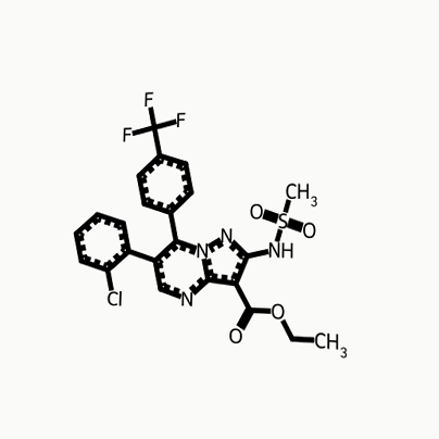 CCOC(=O)c1c(NS(C)(=O)=O)nn2c(-c3ccc(C(F)(F)F)cc3)c(-c3ccccc3Cl)cnc12